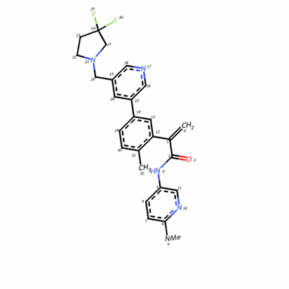 C=C(C(=O)Nc1ccc(NC)nc1)c1cc(-c2cncc(CN3CCC(F)(F)C3)c2)ccc1C